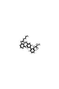 CCCCc1nc2ccnc(Cl)c2n1Cc1ccc(-c2ccccc2OC(=O)O)cc1